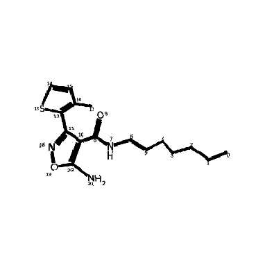 CCCCCCCNC(=O)c1c(-c2sccc2C)noc1N